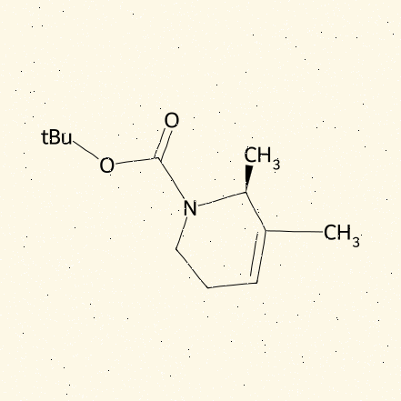 CC1=CCCN(C(=O)OC(C)(C)C)[C@H]1C